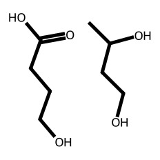 CC(O)CCO.O=C(O)CCCO